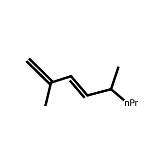 C=C(C)C=CC(C)CCC